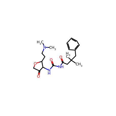 CN(C)CCC1OCC(=O)C1NC(=O)NC(=O)CC(C)(C)Cc1ccccc1